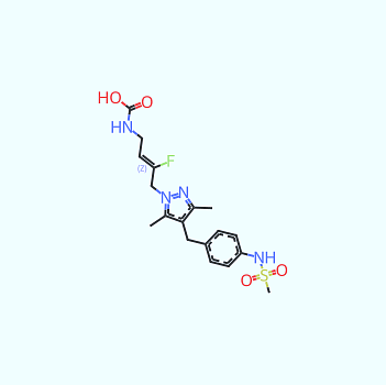 Cc1nn(C/C(F)=C/CNC(=O)O)c(C)c1Cc1ccc(NS(C)(=O)=O)cc1